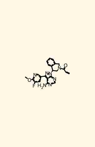 C=CC(=O)N1Cc2ccccc2C(n2nc(-c3cnc(OC)c(F)c3)c3c(N)ncnc32)C1